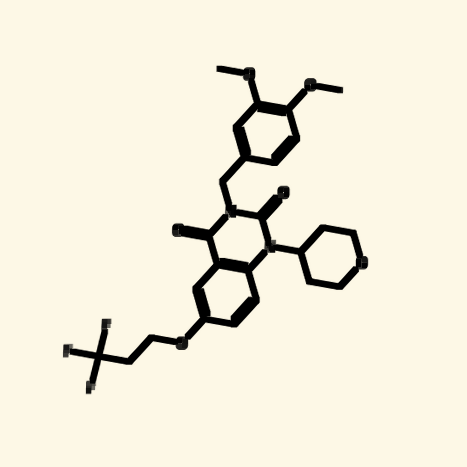 COc1ccc(Cn2c(=O)c3cc(OCCC(F)(F)F)ccc3n(C3CCOCC3)c2=O)cc1OC